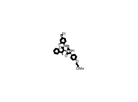 CCOc1ccc(NC(=O)[C@H]([C@@H](C)c2ccccc2)N2C(=O)N[C@H](c3ccc(OCCOC)cc3)C2=O)c(F)c1